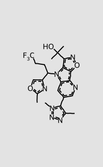 Cc1nc(C(CCC(F)(F)F)n2c3cc(-c4c(C)nnn4C)cnc3c3onc(C(C)(C)O)c32)co1